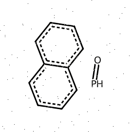 O=P.c1ccc2ccccc2c1